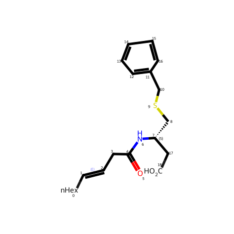 CCCCCC/C=C/CC(=O)N[C@H](CSCc1ccccc1)CC(=O)O